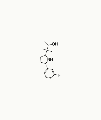 CC(O)C(C)(C)C1CC[C@@H](c2cccc(F)c2)N1